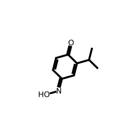 CC(C)C1=CC(=NO)C=CC1=O